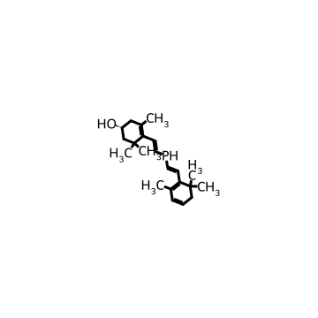 CC1=C(/C=C/P/C=C/C2=C(C)C[C@@H](O)CC2(C)C)C(C)(C)CC=C1